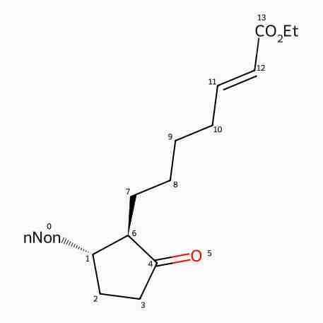 CCCCCCCCC[C@H]1CCC(=O)[C@@H]1CCCCC=CC(=O)OCC